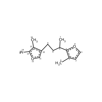 Cc1ccoc1C(C)CCc1coc(C(C)C)c1C